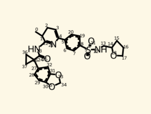 CC1CC=C(c2ccc(S(=O)(=O)NCC3CCCO3)cc2)N=C1NC(=O)C1(c2ccc3c(c2)OCO3)CC1